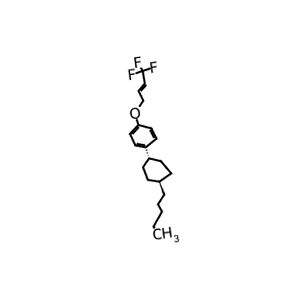 CCCCC[C@H]1CC[C@H](c2ccc(OCC=CC(F)(F)F)cc2)CC1